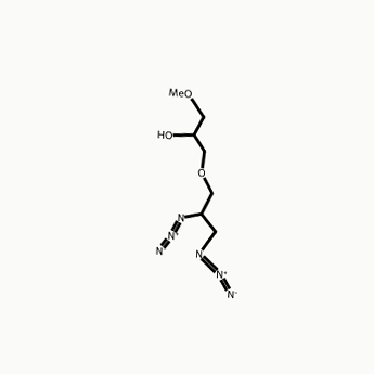 COCC(O)COCC(CN=[N+]=[N-])N=[N+]=[N-]